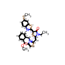 CCn1c(=O)/c(=C2\Sc3cc(SC)ccc3N2C)s/c1=C\c1scc[n+]1Cc1ccccc1C(=O)OC